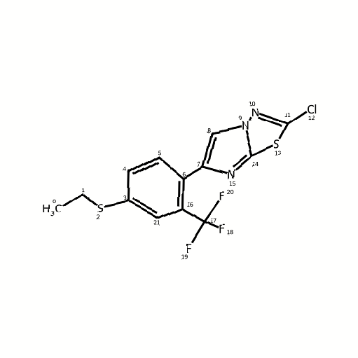 CCSc1ccc(-c2cn3nc(Cl)sc3n2)c(C(F)(F)F)c1